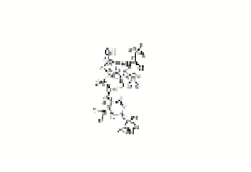 Cc1ncsc1-c1ccc(CNC(=O)[C@@H]2C[C@@H](O)CC2C(=O)[C@@H](NC(=O)C2(F)CC2)C(C)(C)C)c(C(C)(C)C)c1